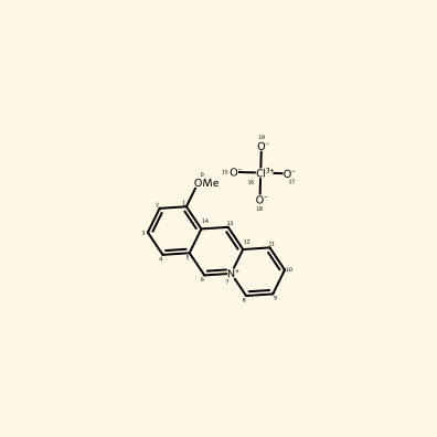 COc1cccc2c[n+]3ccccc3cc12.[O-][Cl+3]([O-])([O-])[O-]